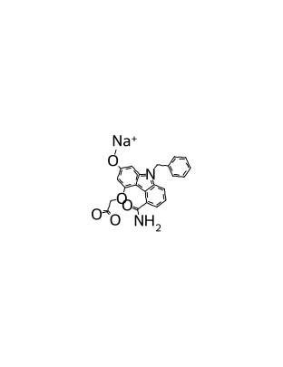 COc1cc(OCC(=O)[O-])c2c3c(C(N)=O)cccc3n(Cc3ccccc3)c2c1.[Na+]